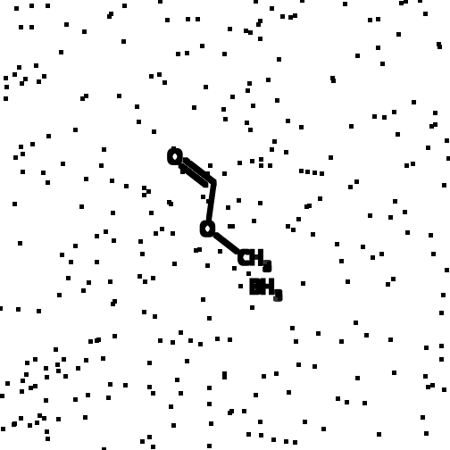 B.COC=O